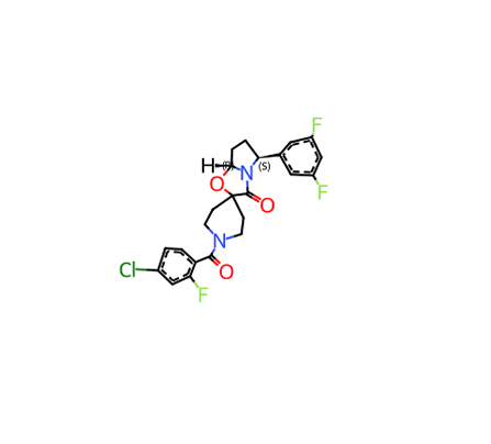 O=C(c1ccc(Cl)cc1F)N1CCC2(CC1)O[C@@H]1CC[C@@H](c3cc(F)cc(F)c3)N1C2=O